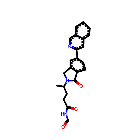 CC(CCC(=O)NC=O)N1Cc2cc(-c3cc4ccccc4cn3)ccc2C1=O